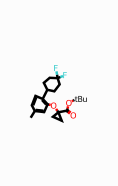 Cc1ccc(C2CCC(F)(F)CC2)c(OC2(C(=O)OC(C)(C)C)CC2)c1